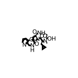 CN(C(=O)O)[C@@H](CC1CC1)C(=O)N1C[C@@]2(C[C@H]1C(N)=O)Oc1cccnc1CNC2=O